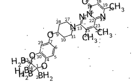 BC1(B)Oc2ccc(OC3CCN(c4nn5c(=O)cc(C)nc5c(C)c4C)CC3)cc2OC1(B)B